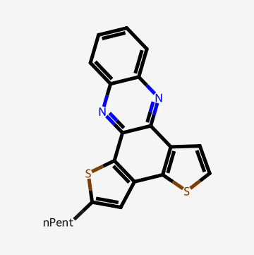 CCCCCc1cc2c3sccc3c3nc4ccccc4nc3c2s1